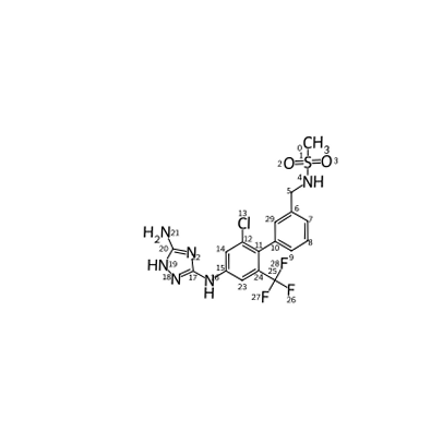 CS(=O)(=O)NCc1cccc(-c2c(Cl)cc(Nc3n[nH]c(N)n3)cc2C(F)(F)F)c1